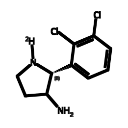 [2H]N1CCC(N)[C@H]1c1cccc(Cl)c1Cl